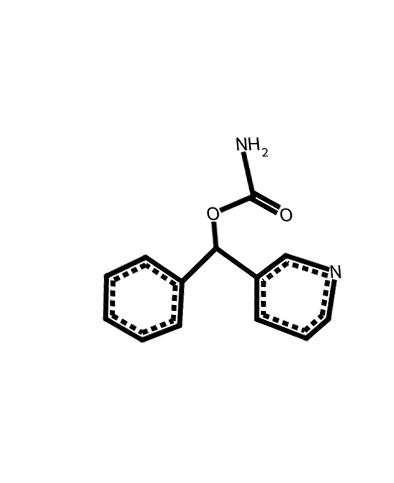 NC(=O)OC(c1ccccc1)c1cccnc1